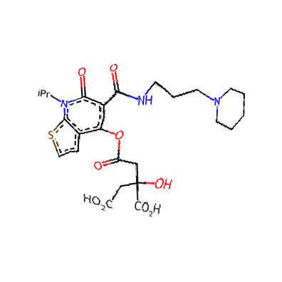 CC(C)n1c(=O)c(C(=O)NCCCN2CCCCC2)c(OC(=O)CC(O)(CC(=O)O)C(=O)O)c2ccsc21